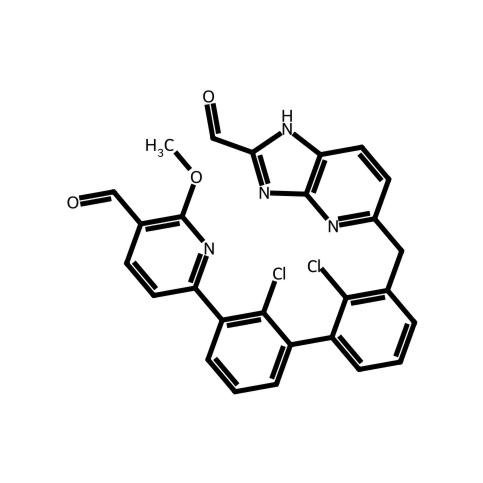 COc1nc(-c2cccc(-c3cccc(Cc4ccc5[nH]c(C=O)nc5n4)c3Cl)c2Cl)ccc1C=O